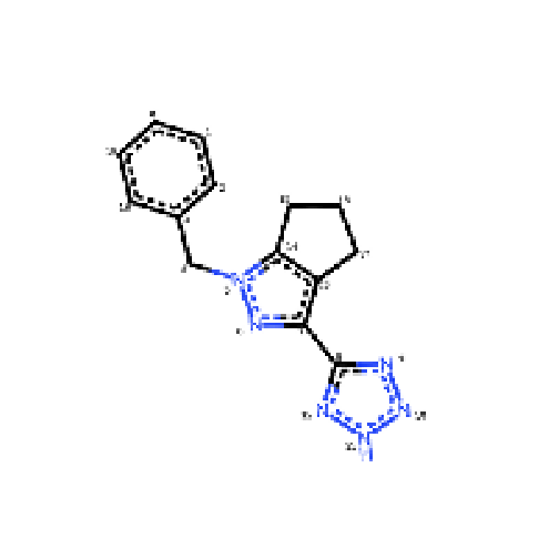 c1ccc(Cn2nc(-c3nn[nH]n3)c3c2CCC3)cc1